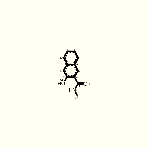 O=C(NI)c1cc2ccccc2cc1O